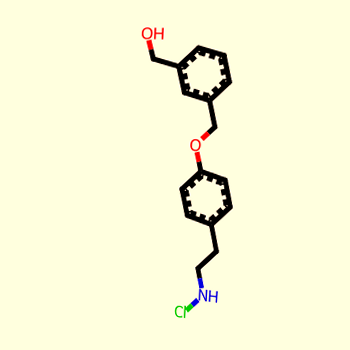 OCc1cccc(COc2ccc(CCNCl)cc2)c1